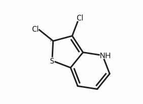 Cl[C]1SC2=CC=CNC2=C1Cl